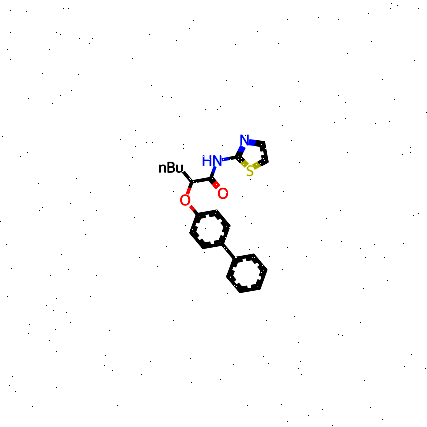 CCCCC(Oc1ccc(-c2ccccc2)cc1)C(=O)Nc1nccs1